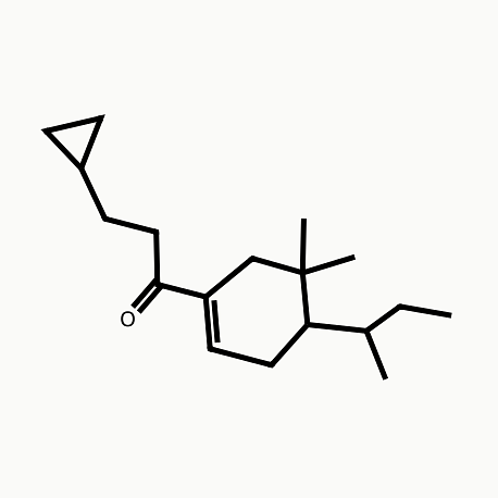 CCC(C)C1CC=C(C(=O)CCC2CC2)CC1(C)C